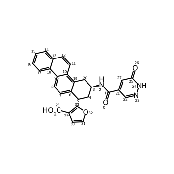 O=C(N[C@H]1CCc2ccc3c(ccc4ccccc43)c2C1)c1cn[nH]c(=O)c1.O=C(O)c1ccoc1